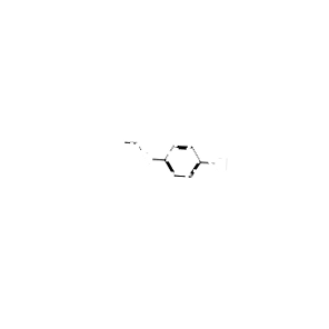 FCSc1ccc(Cl)cc1